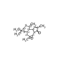 CC1=CC2C(C1=O)C1OC1(C)CC1C2C(C)CC2C1C2(C)C